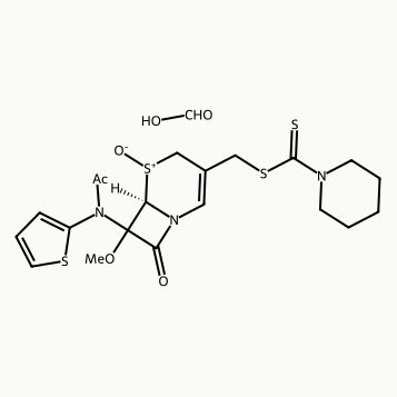 COC1(N(C(C)=O)c2cccs2)C(=O)N2C=C(CSC(=S)N3CCCCC3)C[S+]([O-])[C@@H]21.O=CO